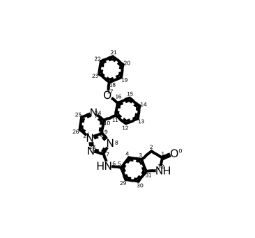 O=C1Cc2cc(Nc3nc4c(-c5ccccc5Oc5ccccc5)nccn4n3)ccc2N1